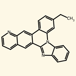 CCc1ccc2c3cc4ncccc4cc3c3nc4ccccc4n3c2c1